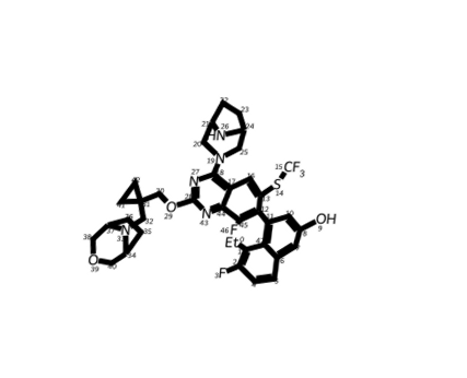 CCc1c(F)ccc2cc(O)cc(-c3c(SC(F)(F)F)cc4c(N5CC6CCC(C5)N6)nc(OCC5(CN6C7CCC6COC7)CC5)nc4c3F)c12